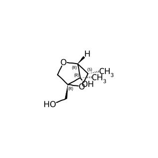 C[C@@H]1O[C@]2(CO)CO[C@H]1[C@@]2(C)O